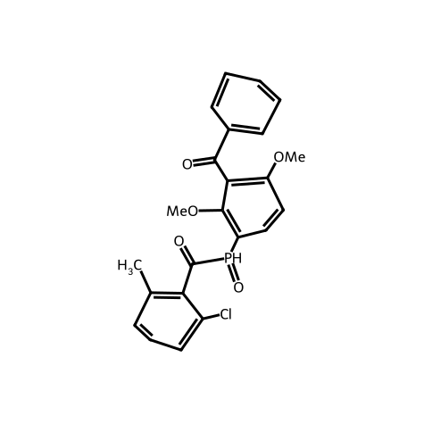 COc1ccc([PH](=O)C(=O)c2c(C)cccc2Cl)c(OC)c1C(=O)c1ccccc1